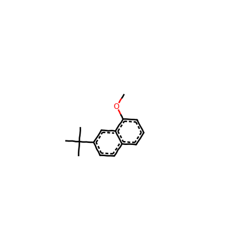 COc1cccc2ccc(C(C)(C)C)cc12